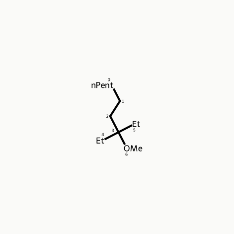 CCCCCCCC(CC)(CC)OC